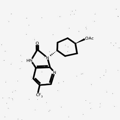 CC(=O)O[C@H]1CC[C@H](n2c(=O)[nH]c3cc(C(F)(F)F)cnc32)CC1